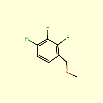 CS[CH]c1ccc(F)c(F)c1F